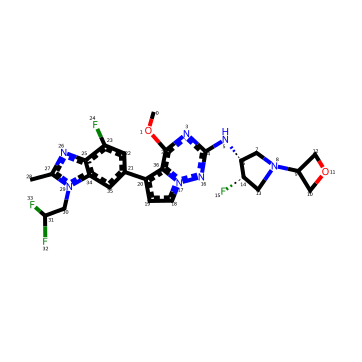 COc1nc(N[C@@H]2CN(C3COC3)C[C@@H]2F)nn2ccc(-c3cc(F)c4nc(C)n(CC(F)F)c4c3)c12